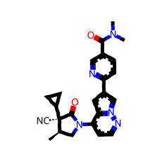 C[C@@H]1CN(c2ccnn3cc(-c4ccc(C(=O)N(C)C)cn4)cc23)C(=O)[C@]1(C#N)C1CC1